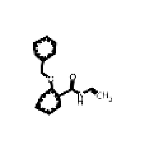 C=CNC(=O)c1ccccc1OCc1ccccc1